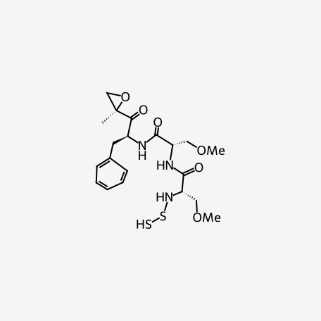 COC[C@H](NSS)C(=O)N[C@@H](COC)C(=O)N[C@@H](Cc1ccccc1)C(=O)[C@@]1(C)CO1